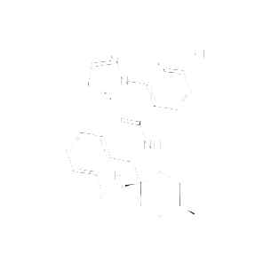 O=C(NC(c1cccc(F)c1Cl)[C@]1(O)CC[C@@H](F)CC1)c1ccc(C(F)(F)F)nc1-n1nccn1